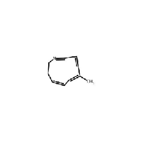 CC1=C\C=C/CC/N=C/C=C\1